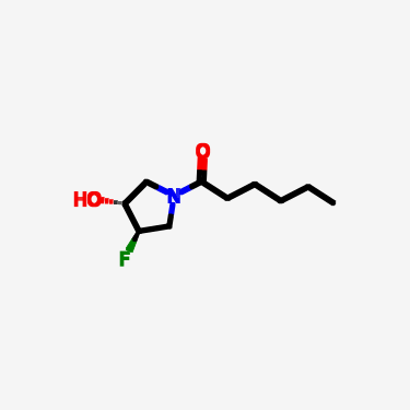 CCCCCC(=O)N1C[C@@H](O)[C@H](F)C1